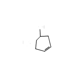 CC1CC=CCC1.S